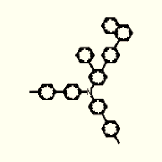 Cc1ccc(-c2ccc(N(c3ccc(-c4ccc(C)cc4)cc3)c3ccc(-c4ccc(-c5cccc6ccccc56)cc4)c(-c4ccccc4)c3)cc2)cc1